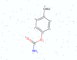 COc1ccc(OC(N)=O)cc1